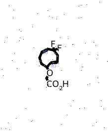 O=C(O)COC1/C=C/CC(F)(F)/C=C\CC1